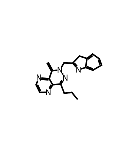 C=C1c2nccnc2C(CCC)=NN1CC1=Nc2ccccc2C1